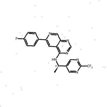 C[C@@H](Nc1ncnc2cnc(-c3ccc(F)cc3)cc12)c1cnc(C(F)(F)F)nc1